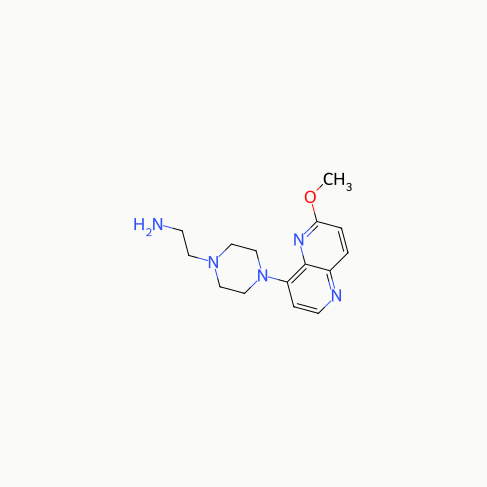 COc1ccc2nccc(N3CCN(CCN)CC3)c2n1